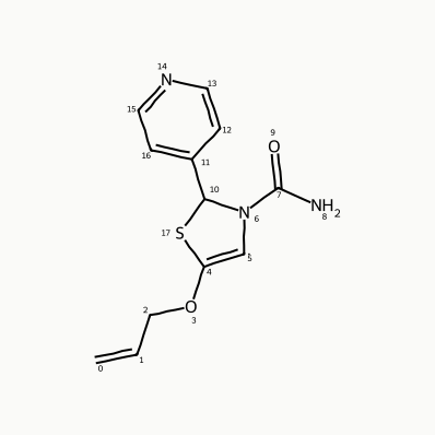 C=CCOC1=[C]N(C(N)=O)C(c2ccncc2)S1